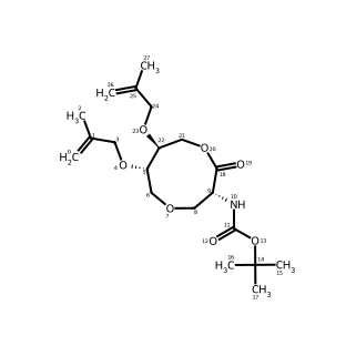 C=C(C)CO[C@H]1COC[C@@H](NC(=O)OC(C)(C)C)C(=O)OC[C@@H]1OCC(=C)C